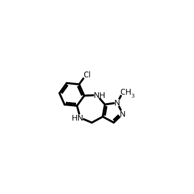 Cn1ncc2c1Nc1c(Cl)cccc1NC2